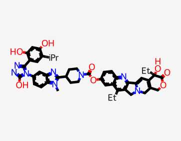 CCc1c2c(nc3ccc(OC(=O)N4CCC(c5nc6cc(-n7c(O)nnc7-c7cc(C(C)C)c(O)cc7O)ccc6n5C)CC4)cc13)C1=CC3=C(COC(=O)C3(O)CC)CN1C2